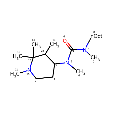 CCCCCCCCN(C)C(=O)N(C)C1CCN(C)C(C)(C)C1C